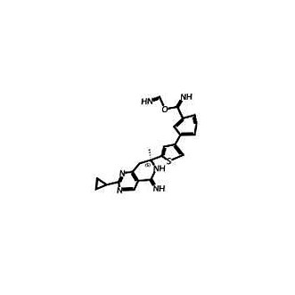 C[C@@]1(c2cc(-c3cccc(C(=N)OC=N)c3)cs2)Cc2nc(C3CC3)ncc2C(=N)N1